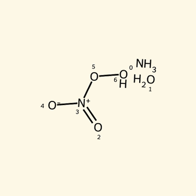 N.O.O=[N+]([O-])OO